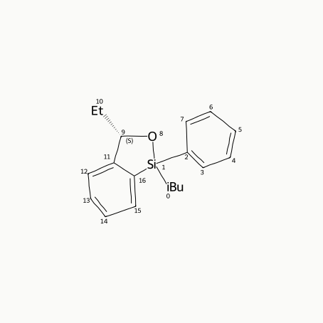 CCC(C)[Si]1(c2ccccc2)O[C@@H](CC)c2ccccc21